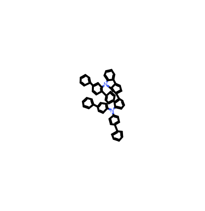 c1ccc(-c2ccc(N(c3ccc(-c4ccccc4)cc3)c3cccc(-c4ccc5c6ccccc6n(-c6cc(-c7ccccc7)ccc6-c6ccccc6)c5c4)c3)cc2)cc1